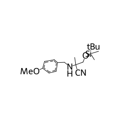 COc1ccc(CNC(C)(C#N)CO[Si](C)(C)C(C)(C)C)cc1